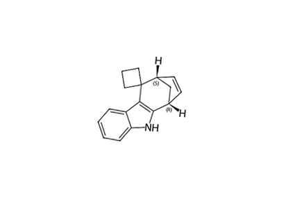 C1=C[C@H]2C[C@@H]1C1(CCC1)c1c2[nH]c2ccccc12